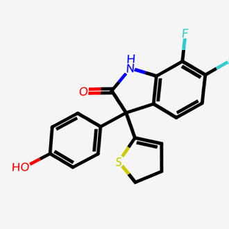 O=C1Nc2c(ccc(F)c2F)C1(C1=CCCS1)c1ccc(O)cc1